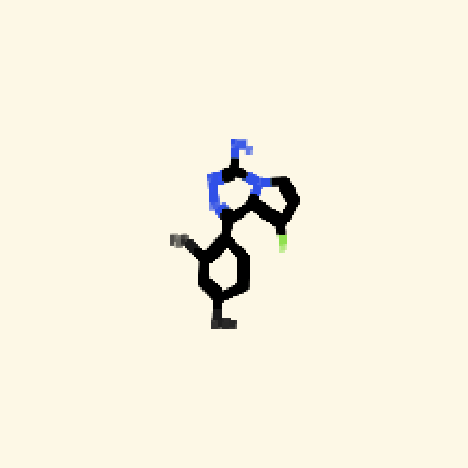 COc1ccc(-c2nnc(N)n3ccc(F)c23)c(C(F)(F)F)c1